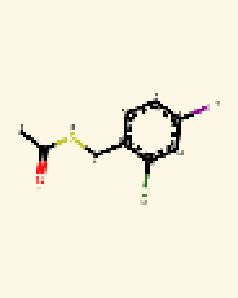 CC(=O)SCc1ccc(I)cc1Cl